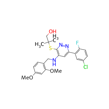 COc1ccc(CNc2cc(-c3cc(Cl)ccc3F)nnc2SC(C)(C)CO)c(OC)c1